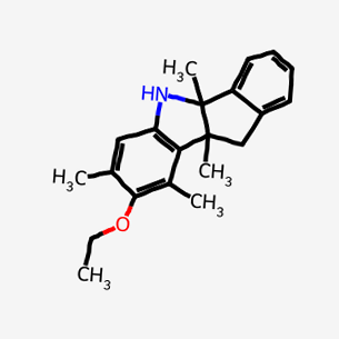 CCOc1c(C)cc2c(c1C)C1(C)Cc3ccccc3C1(C)N2